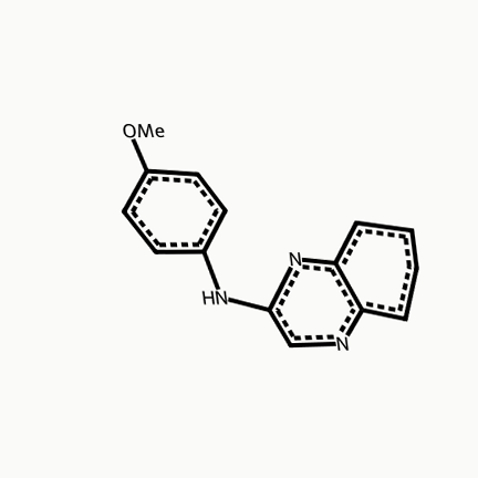 COc1ccc(Nc2cnc3ccccc3n2)cc1